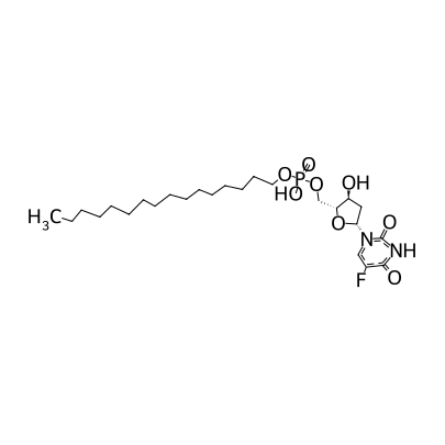 CCCCCCCCCCCCCCCCOP(=O)(O)OC[C@H]1O[C@@H](n2cc(F)c(=O)[nH]c2=O)C[C@@H]1O